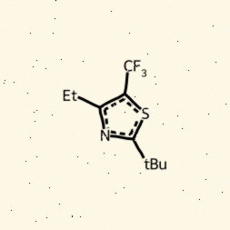 CCc1nc(C(C)(C)C)sc1C(F)(F)F